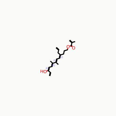 C=CC\C(=C/C=C(C)/C(C)=C/C=C(/O)C=C)CCCOC(=O)C(=C)C